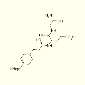 CCCCCCCC1=CC=C(CC[C@@H](O)N[C@@H](CCC(=O)O)C(O)NC[C@H](N)O)CC1